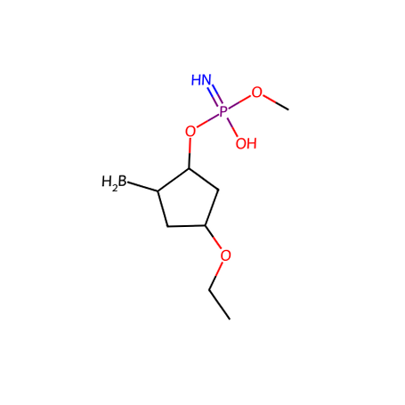 BC1CC(OCC)CC1OP(=N)(O)OC